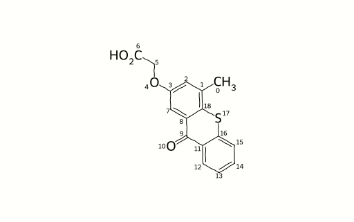 Cc1cc(OCC(=O)O)cc2c(=O)c3ccccc3sc12